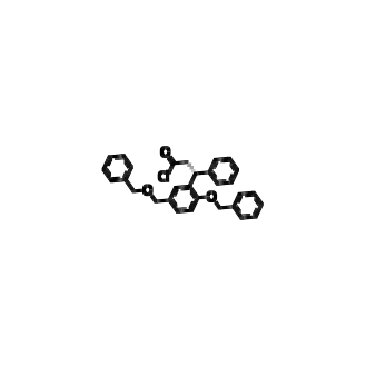 O=C(Cl)C[C@H](c1ccccc1)c1cc(COCc2ccccc2)ccc1OCc1ccccc1